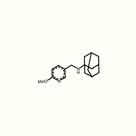 COc1ccc(CNC23CC4CC(CC(C4)C2)C3)cn1